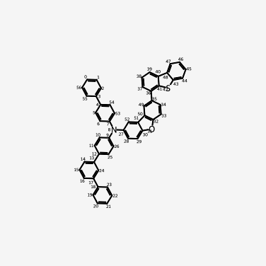 c1ccc(-c2ccc(N(c3ccc(-c4cccc(-c5ccccc5)c4)cc3)c3ccc4oc5ccc(-c6cccc7c6sc6ccccc67)cc5c4c3)cc2)cc1